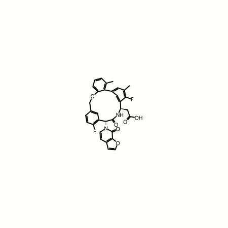 Cc1cc2cc(c1F)[C@@H](CC(=O)O)NC(=O)[C@H](n1ccc3ccoc3c1=O)c1cc(ccc1F)COc1cccc(C)c1-2